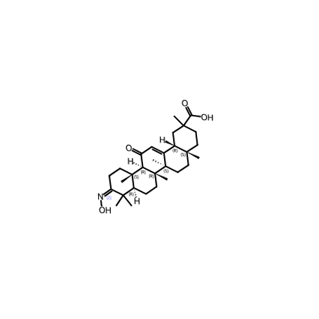 CC1(C(=O)O)CC[C@]2(C)CC[C@]3(C)C(=CC(=O)[C@@H]4[C@@]5(C)CC/C(=N/O)C(C)(C)[C@@H]5CC[C@]43C)[C@@H]2C1